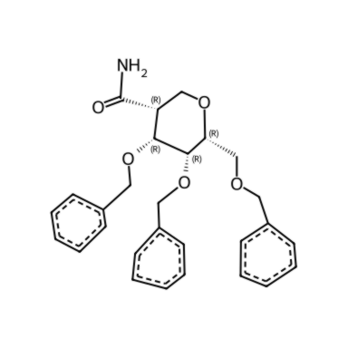 NC(=O)[C@@H]1CO[C@H](COCc2ccccc2)[C@H](OCc2ccccc2)[C@@H]1OCc1ccccc1